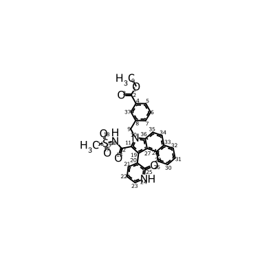 COC(=O)c1cccc(Cn2c(C(=O)NS(C)(=O)=O)c(-c3ccc[nH]c3=O)c3c4ccccc4ccc32)c1